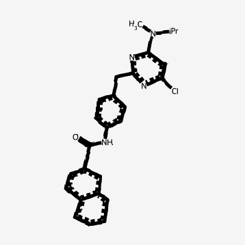 CC(C)N(C)c1[c]c(Cl)nc(Cc2ccc(NC(=O)c3ccc4ccccc4c3)cc2)n1